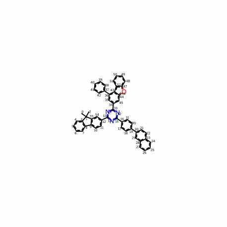 CC1(C)c2ccccc2-c2ccc(-c3nc(-c4ccc(-c5ccc6ccccc6c5)cc4)nc(-c4cc(-c5ccccc5)c5c(c4)oc4ccccc45)n3)cc21